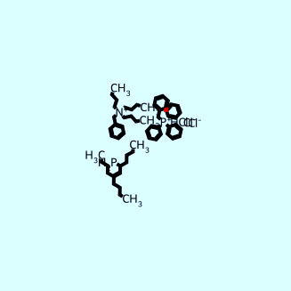 CCCCC(=CC(P)CCCC)CCCC.CCCC[N+](CCCC)(CCCC)Cc1ccccc1.Cl.[Cl-].[Cl-].c1ccc(C[P+](c2ccccc2)(c2ccccc2)c2ccccc2)cc1